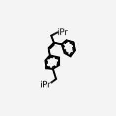 CC(C)CC(=Cc1ccc(CC(C)C)cc1)c1ccccc1